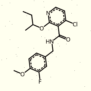 CCC(C)Oc1nccc(Cl)c1C(=O)NCc1ccc(OC)c(F)c1